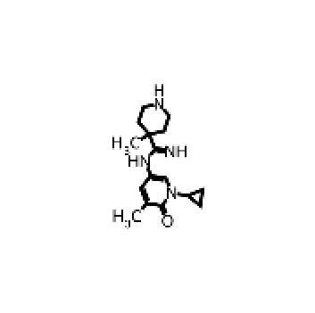 Cc1cc(NC(=N)C2(C)CCNCC2)cn(C2CC2)c1=O